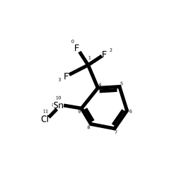 FC(F)(F)c1cccc[c]1[Sn][Cl]